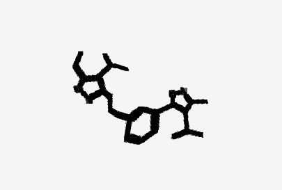 CCc1onc(CCc2cccc(-c3onc(C)c3C(C)C)c2)c1C(C)C